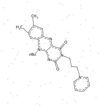 CCCCn1c2nc(=O)n(CCC[n+]3ccccc3)c(=O)c-2nc2cc(C)c(C)cc21